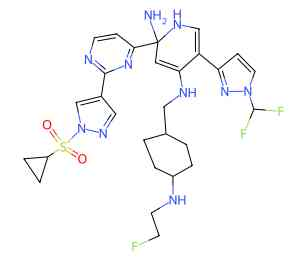 NC1(c2ccnc(-c3cnn(S(=O)(=O)C4CC4)c3)n2)C=C(NCC2CCC(NCCF)CC2)C(c2ccn(C(F)F)n2)=CN1